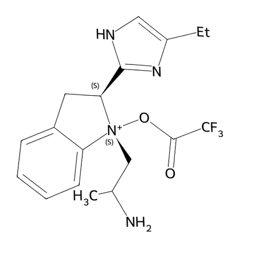 CCc1c[nH]c([C@@H]2Cc3ccccc3[N@@+]2(CC(C)N)OC(=O)C(F)(F)F)n1